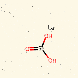 O=[Se](O)O.[La]